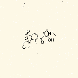 CCn1ncc(C(=O)c2ccc(S(C)(=O)=O)c(N3CCOCC3)c2C)c1O